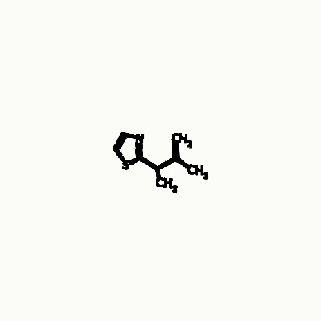 C=C(C)C(C)c1nccs1